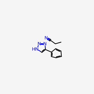 CCC#N.c1ccc(-c2c[nH]nn2)cc1